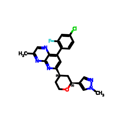 Cc1cnc2c(-c3ccc(Cl)cc3F)cc([C@@H]3CCO[C@H](c4cnn(C)c4)C3)nc2n1